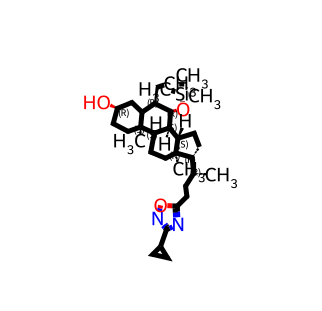 CC[C@@H]1C2C[C@H](O)CC[C@]2(C)[C@H]2CC[C@]3(C)[C@@H]([C@H](C)CCc4nc(C5CC5)no4)CC[C@H]3[C@@H]2[C@@H]1O[Si](C)(C)C